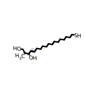 C[C@@H](CO)[C@H](O)/C=C/CCCCCCCCCCCCCS